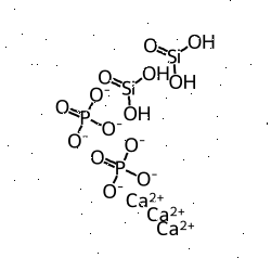 O=P([O-])([O-])[O-].O=P([O-])([O-])[O-].O=[Si](O)O.O=[Si](O)O.[Ca+2].[Ca+2].[Ca+2]